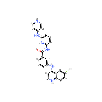 O=C(Nc1cccc(Nc2ccncc2)n1)c1cccc(Nc2ccnc3ccc(F)cc23)c1